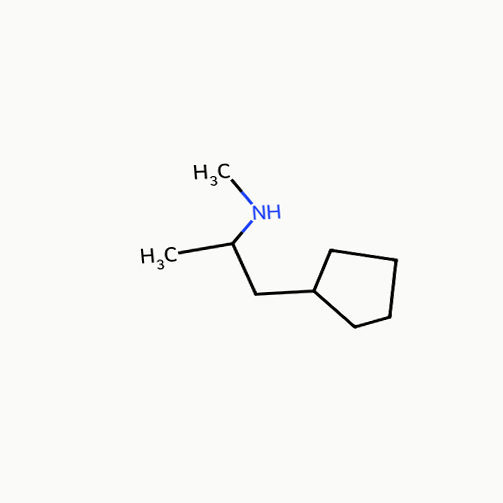 CNC(C)CC1CCCC1